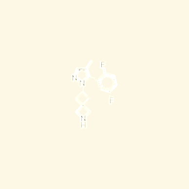 Cc1cnn(C2CC3(CNC3)C2)c1-c1cc(F)ccc1F